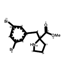 COC(=O)C1(Cc2cc(Br)cc(Br)c2)CCCN1